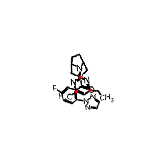 CCc1cc(C)nc(N2C3CCC2CN(C(=O)c2cc(F)ccc2-n2nccn2)C3)n1